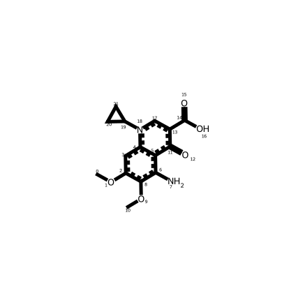 COc1cc2c(c(N)c1OC)c(=O)c(C(=O)O)cn2C1CC1